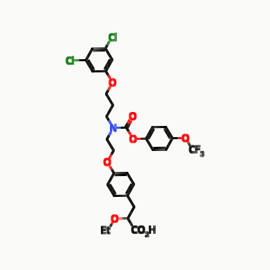 CCOC(Cc1ccc(OCCN(CCCOc2cc(Cl)cc(Cl)c2)C(=O)Oc2ccc(OC(F)(F)F)cc2)cc1)C(=O)O